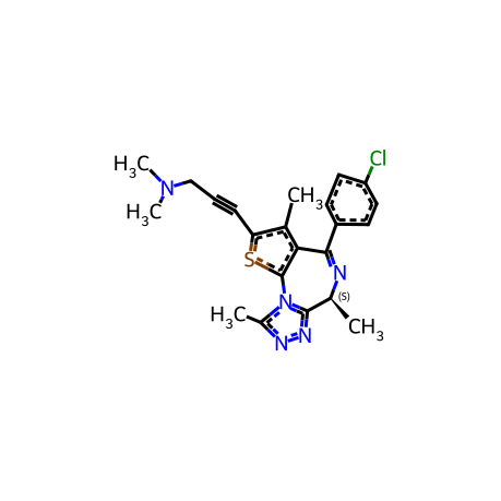 Cc1c(C#CCN(C)C)sc2c1C(c1ccc(Cl)cc1)=N[C@@H](C)c1nnc(C)n1-2